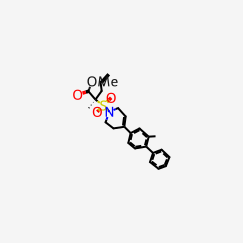 C=CC[C@](C)(C(=O)OC)S(=O)(=O)N1CC=C(c2ccc(-c3ccccc3)c(C)c2)CC1